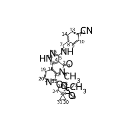 Cn1c(=O)c2c(NCc3ccc(C#N)cc3)n[nH]c2c2ccnc(OCC3(S(C)(=O)=O)CC3)c21